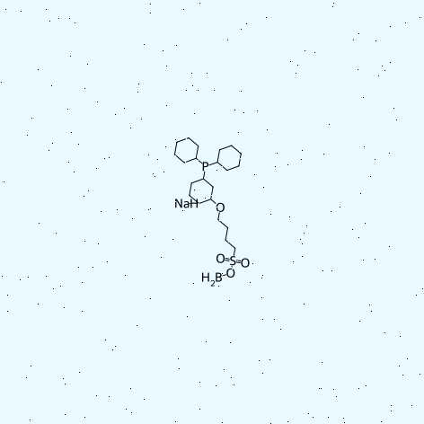 BOS(=O)(=O)CCCCOC1CCCC(P(C2CCCCC2)C2CCCCC2)C1.[NaH]